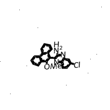 COc1c(-c2nc3ccc(Cl)cc3nc2N)c2ccccc2c2ccccc12